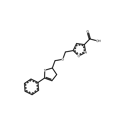 O=C(O)c1cc(COCC2CC=C(c3ccccc3)S2)on1